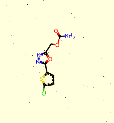 NC(=O)OCc1nnc(-c2ccc(Cl)s2)o1